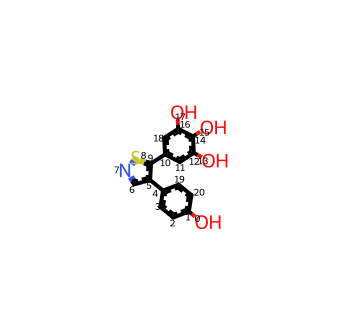 Oc1ccc(-c2cnsc2-c2cc(O)c(O)c(O)c2)cc1